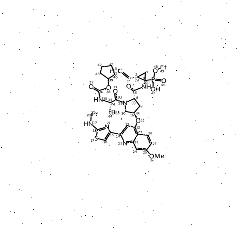 C=C[C@@H]1C[C@]1(NC(=O)[C@@H]1C[C@@H](Oc2cc(-c3csc(NC(C)C)n3)nc3cc(OC)ccc23)CN1C(=O)[C@@H](NC(=O)OC1CCCC1)C(C)(C)C)P(=O)(O)OCC